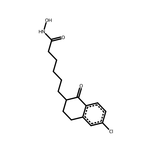 O=C(CCCCCC1CCc2cc(Cl)ccc2C1=O)NO